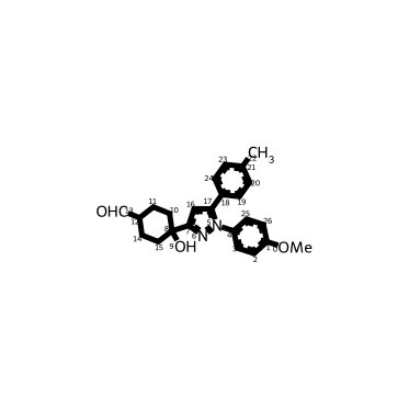 COc1ccc(-n2nc(C3(O)CCC(C=O)CC3)cc2-c2ccc(C)cc2)cc1